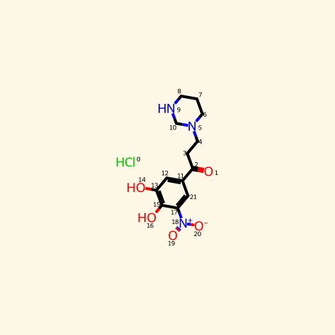 Cl.O=C(CCN1CCCNC1)c1cc(O)c(O)c([N+](=O)[O-])c1